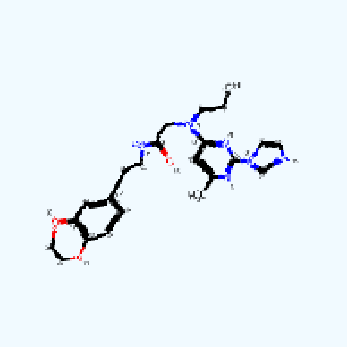 Cc1cc(N(CCC#N)CC(=O)NCCc2ccc3c(c2)OCCO3)nc(-n2ccnc2)n1